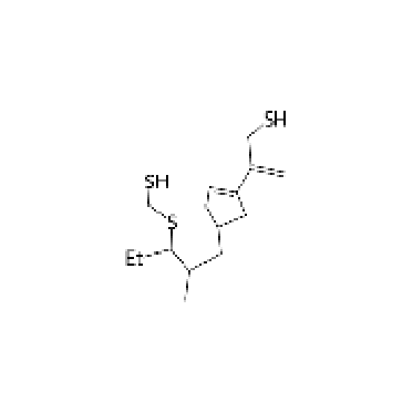 C=C(CS)C1=CCC(CC(C)C(CC)SCS)C1